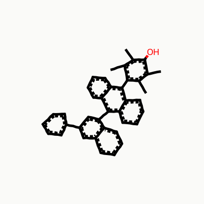 Cc1c(C)c(-c2c3ccccc3c(-c3cc(-c4ccccc4)cc4ccccc34)c3ccccc23)c(C)c(C)c1O